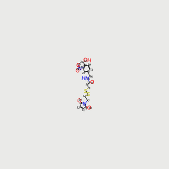 O=C(CCSSCCN1C(=O)C=CC1=O)NCc1ccc(CO)c([N+](=O)[O-])c1